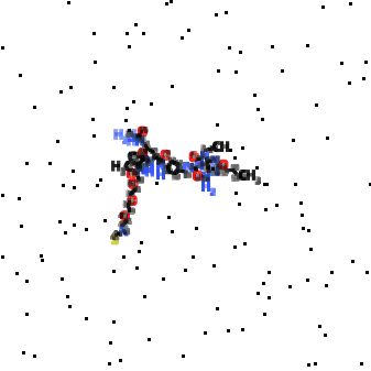 C#CCn1c(=O)n(C(=O)NCc2ccc(NC(=O)[C@H](CCCNC(N)=O)NC(=O)[C@@H](NC(=O)COCCOCCOCCN=C=S)C(C)C)cc2)c2c(N)nc(OCCCC)nc21